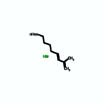 Br.C=C(C)C=CCCCCCCCCCC